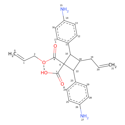 C=CCOC(=O)C1(C(=O)O)C(c2ccc(N)cc2)C(CC=C)C1c1ccc(N)cc1